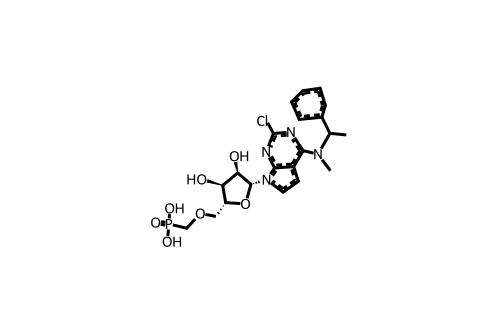 CC(c1ccccc1)N(C)c1nc(Cl)nc2c1ccn2[C@@H]1O[C@H](COCP(=O)(O)O)[C@@H](O)[C@H]1O